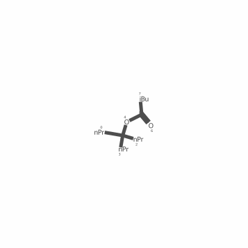 CCCC(CCC)(CCC)OC(=O)C(C)CC